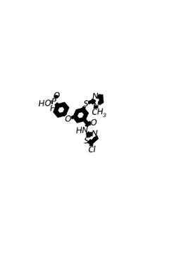 Cn1ccnc1Sc1cc(Oc2ccc([PH](=O)O)cc2)cc(C(=O)Nc2ncc(Cl)s2)c1